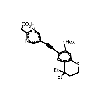 CCCCCCc1cc2c(cc1C#Cc1cnc(CC(=O)O)nc1)C(CC)(CC)CCS2